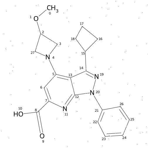 COC1CN(c2cc(C(=O)O)nc3c2c(C2CCC2)nn3-c2ccccc2)C1